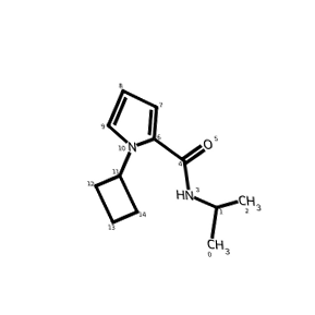 CC(C)NC(=O)c1cccn1C1CCC1